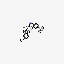 O=C(/C=C\c1ccc([N+](=O)[O-])cc1)Nc1nc2cc(Cl)ccc2o1